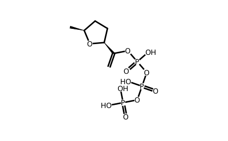 C=C(OP(=O)(O)OP(=O)(O)OP(=O)(O)O)[C@@H]1CC[C@H](C)O1